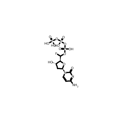 Nc1ccn([C@H]2C[C@H](O)[C@@H](C(F)OP(=O)(O)OP(=O)(O)OP(=O)(O)O)O2)c(=O)n1